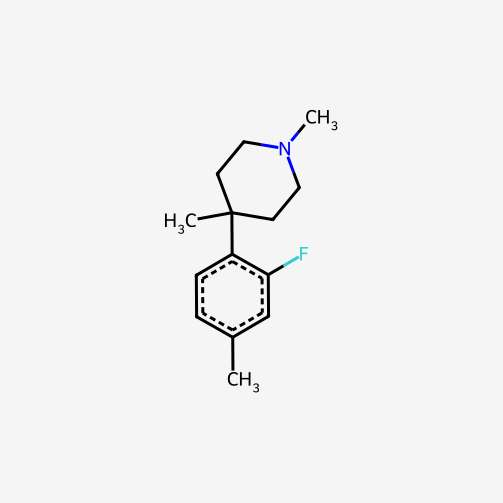 Cc1ccc(C2(C)CCN(C)CC2)c(F)c1